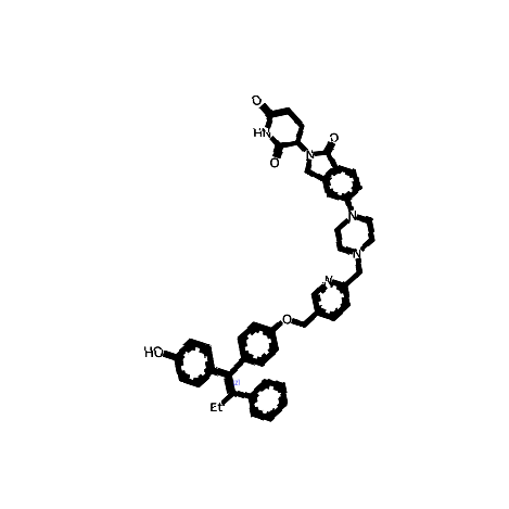 CC/C(=C(\c1ccc(O)cc1)c1ccc(OCc2ccc(CN3CCN(c4ccc5c(c4)CN(C4CCC(=O)NC4=O)C5=O)CC3)nc2)cc1)c1ccccc1